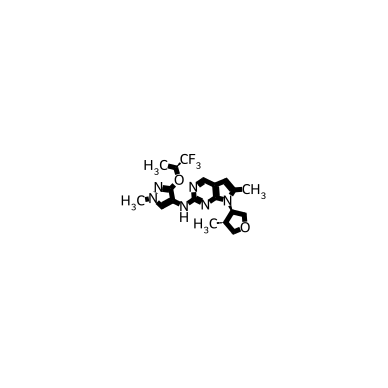 Cc1cc2cnc(Nc3cn(C)nc3O[C@H](C)C(F)(F)F)nc2n1[C@H]1COC[C@@H]1C